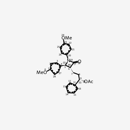 COc1ccc([C@@H]2[C@@H](CC[C@H](OC(C)=O)c3ccccc3)C(=O)N2c2ccc(OC)cc2)cc1